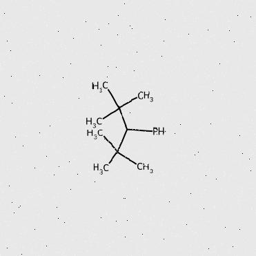 CC(C)(C)C([PH])C(C)(C)C